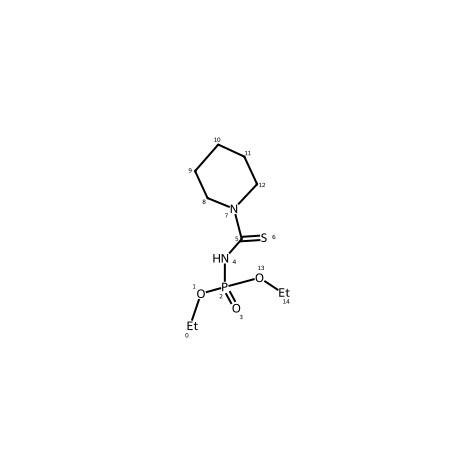 CCOP(=O)(NC(=S)N1CCCCC1)OCC